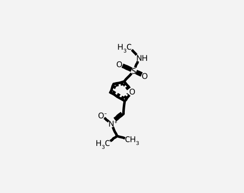 CNS(=O)(=O)c1ccc(C=[N+]([O-])C(C)C)o1